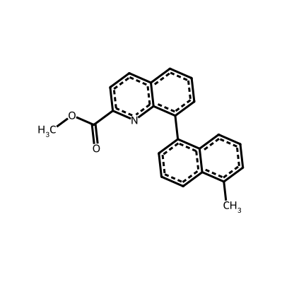 COC(=O)c1ccc2cccc(-c3cccc4c(C)cccc34)c2n1